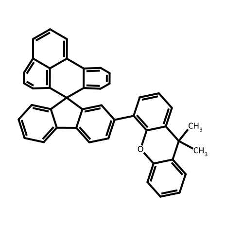 CC1(C)c2ccccc2Oc2c(-c3ccc4c(c3)C3(c5ccccc5-4)c4ccccc4-c4cccc5cccc3c45)cccc21